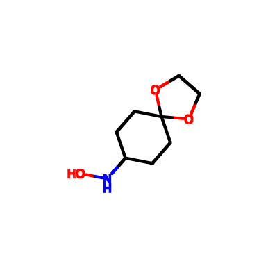 ONC1CCC2(CC1)OCCO2